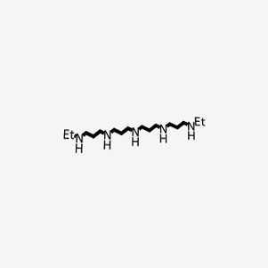 CCNCCCNCCCNCCCNCCCNCC